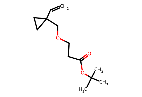 C=CC1(COCCC(=O)OC(C)(C)C)CC1